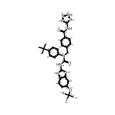 CC(C)(C)c1ccc(N(Cc2ccc(C(=O)Nc3nn[nH]n3)cc2)C(=O)Nc2nc3ccc(OC(F)(F)F)cc3s2)cc1